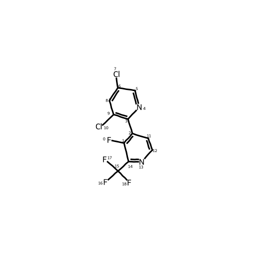 Fc1c(-c2ncc(Cl)[c]c2Cl)ccnc1C(F)(F)F